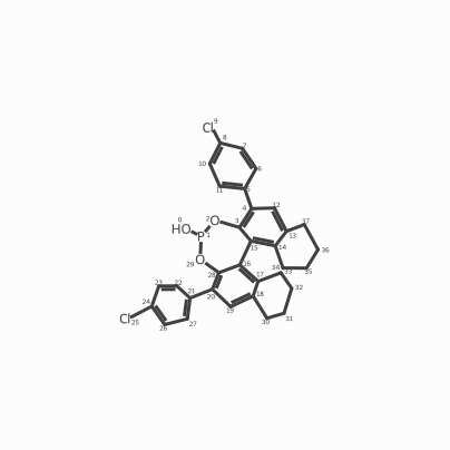 Op1oc2c(-c3ccc(Cl)cc3)cc3c(c2c2c4c(cc(-c5ccc(Cl)cc5)c2o1)CCCC4)CCCC3